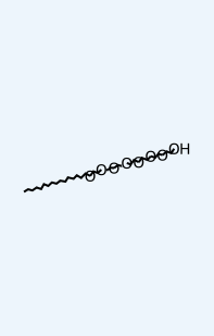 CCCCCCCCCCCCCCCCOCCOCCOCCOCCOCCOCCOCCO